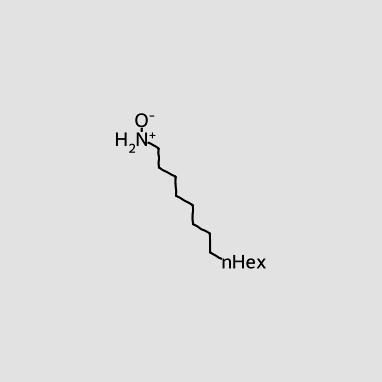 CCCCCCCCCCCCCC[NH2+][O-]